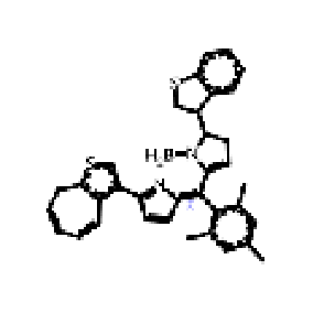 BN1C(/C(=C2/C=CC(c3csc4c3C=CC=CC4)=N2)c2c(C)cc(C)cc2C)=CCC1C1CSc2ccccc21